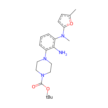 Cc1ccc(N(C)c2cccc(N3CCN(C(=O)OC(C)(C)C)CC3)c2N)o1